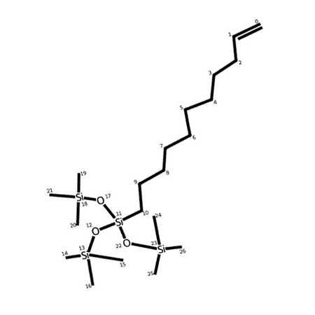 C=CCCCCCCCCC[Si](O[Si](C)(C)C)(O[Si](C)(C)C)O[Si](C)(C)C